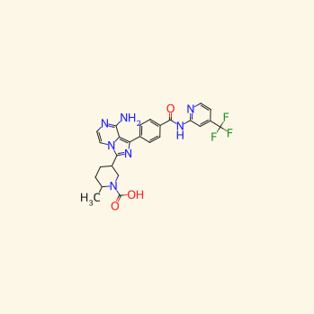 CC1CCC(c2nc(-c3ccc(C(=O)Nc4cc(C(F)(F)F)ccn4)cc3)c3c(N)nccn23)CN1C(=O)O